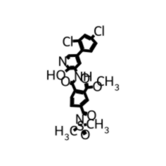 COC(=O)c1cc(C(=O)N=S(C)(C)=O)ccc1C(=O)Nc1cc(-c2ccc(Cl)cc2Cl)cnc1O